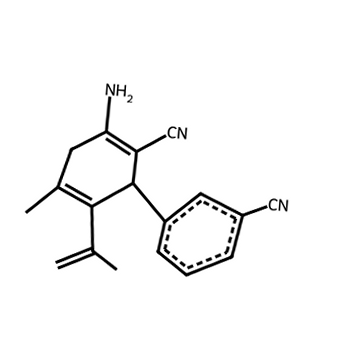 C=C(C)C1=C(C)CC(N)=C(C#N)C1c1cccc(C#N)c1